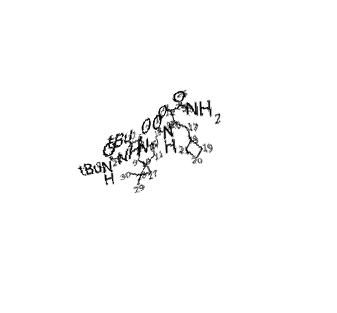 CC(C)(C)NC(=O)NC(C(=O)N1CC2(C[C@H]1C(=O)NC(CC1CCC1)C(=O)C(N)=O)CC2(C)C)C(C)(C)C